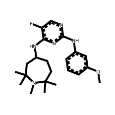 COc1cccc(Nc2ncc(F)c(NC3CCC(C)(C)N(C)C(C)(C)C3)n2)c1